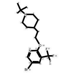 CC(C)(C)N1CCC(CCOc2ncc(Br)cc2C(F)(F)F)CC1